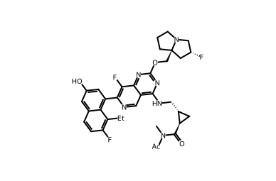 CCc1c(F)ccc2cc(O)cc(-c3ncc4c(NC[C@@H]5C[C@H]5C(=O)N(C)C(C)=O)nc(OC[C@@]56CCCN5C[C@H](F)C6)nc4c3F)c12